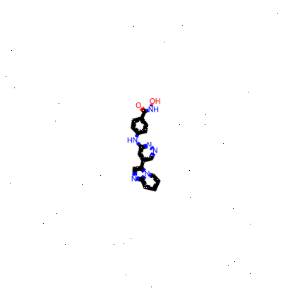 O=C(NO)c1ccc(Nc2cc(-c3cnc4ccccn34)cnn2)cc1